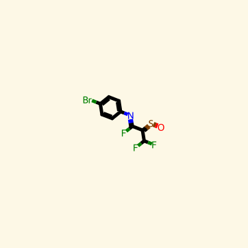 O=S=C(C(F)=Nc1ccc(Br)cc1)C(F)F